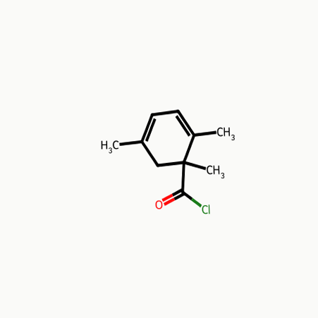 CC1=CC=C(C)C(C)(C(=O)Cl)C1